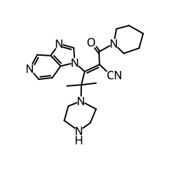 CC(C)(C(=C(C#N)C(=O)N1CCCCC1)n1cnc2cnccc21)N1CCNCC1